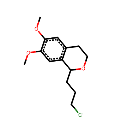 COc1cc2c(cc1OC)C(CCCCl)OCC2